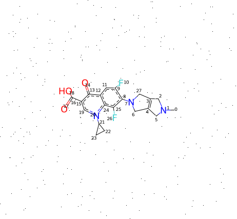 CN1CC2=C(C1)CN(c1c(F)cc3c(=O)c(C(=O)O)cn(C4CC4)c3c1F)C2